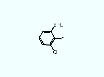 Clc1ccc[c]([BiH2])c1Cl